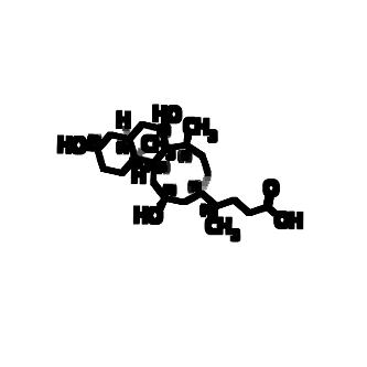 C[C@H](CCC(=O)O)[C@H]1CC[C@H](C)C2[C@H](O)C[C@@H]3C[C@H](O)CC[C@]3(C)[C@H]2C[C@H](O)C1